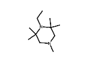 CCN1C(C)(C)CN(C)CC1(C)C